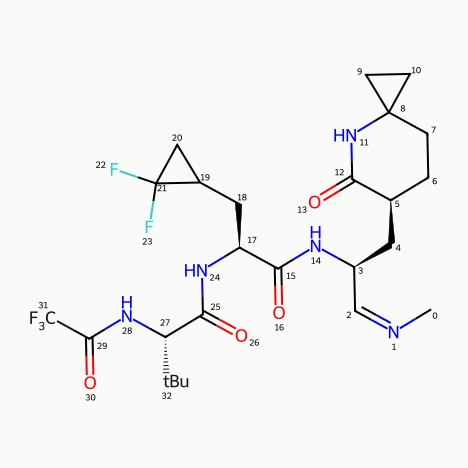 C/N=C\[C@H](C[C@@H]1CCC2(CC2)NC1=O)NC(=O)[C@H](CC1CC1(F)F)NC(=O)[C@@H](NC(=O)C(F)(F)F)C(C)(C)C